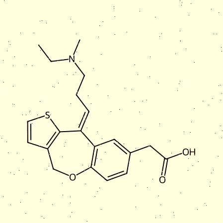 CCN(C)CC/C=C1/c2cc(CC(=O)O)ccc2OCc2ccsc21